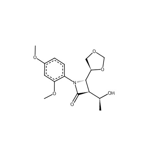 COc1ccc(N2C(=O)[C@H]([C@H](C)O)[C@H]2[C@H]2COCO2)c(OC)c1